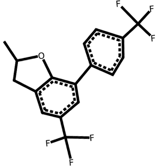 CC1Cc2cc(C(F)(F)F)cc(-c3ccc(C(F)(F)F)cc3)c2O1